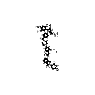 CCNC(=O)c1nnc(-c2cc(C(C)C)c(O)cc2O)n1-c1ccc(C(=O)N2CCN(c3ccc(CC(=O)Nc4cccc5c4CN(C4CCC(=O)NC4=O)C5=O)c(C)c3)CC2)cc1